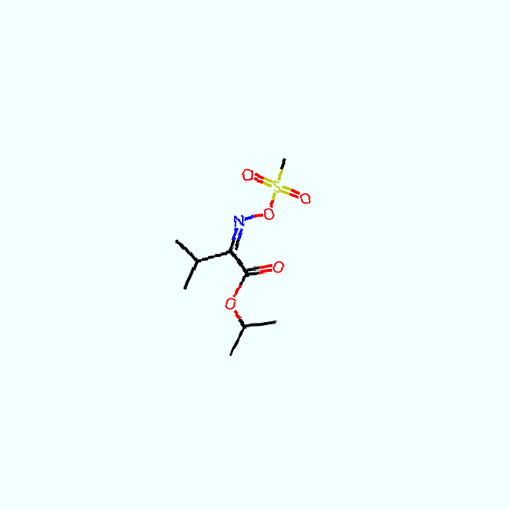 CC(C)OC(=O)/C(=N\OS(C)(=O)=O)C(C)C